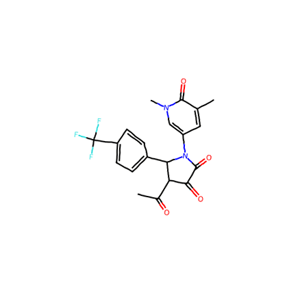 CC(=O)C1C(=O)C(=O)N(c2cc(C)c(=O)n(C)c2)C1c1ccc(C(F)(F)F)cc1